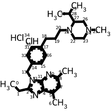 CCc1nc2c(C)cc(C)nc2n1Cc1ccc(CCCN2CCN(C)CC2C(C)C)cc1.Cl.Cl